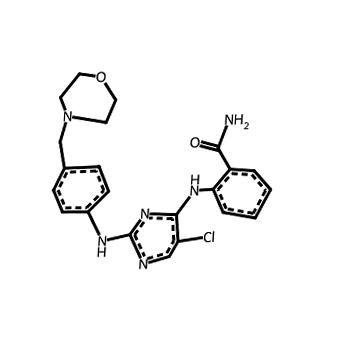 NC(=O)c1ccccc1Nc1nc(Nc2ccc(CN3CCOCC3)cc2)ncc1Cl